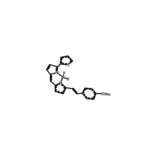 COc1ccc(/C=C/c2ccc3n2[B-](F)(F)[N+]2=C(c4cccs4)C=CC2=C3)cc1